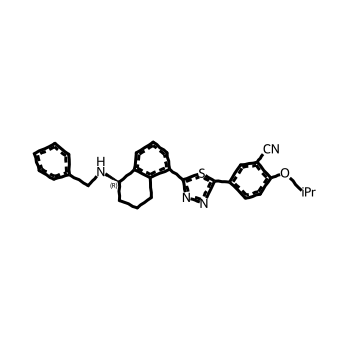 CC(C)Oc1ccc(-c2nnc(-c3cccc4c3CCC[C@H]4NCc3ccccc3)s2)cc1C#N